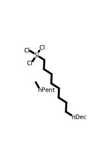 CCCCCC.CCCCCCCCCCCCCCCCCC[Si](Cl)(Cl)Cl